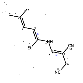 CC/C(=C\C=C(C)C)N/N=C(\C#N)CC#N